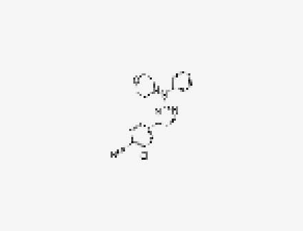 N#Cc1ccc(-c2ccnc(N(c3ccccc3)N3CCOCC3)n2)cc1Cl